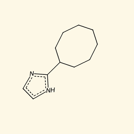 c1c[nH]c(C2CCCCCCC2)n1